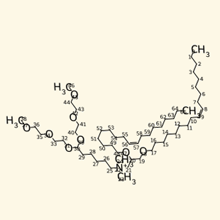 CCCCCCCC/C=C\CCCCCCCCOCC(C[N+](C)(C)CCCCCC(OCCOCCOC)OCCOCCOC)OCCCCCCCC/C=C\CCCCCCCC